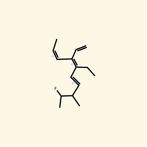 C=CC(/C=C\C)=C(/C=C/C(C)C(C)F)CC